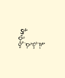 [O-2].[O-2].[O-2].[O-2].[Si+4].[Ti+4]